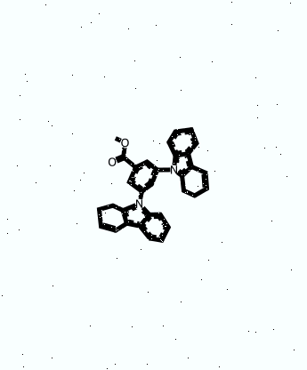 COC(=O)c1cc(-n2c3c(c4ccccc42)C=CCC3)cc(-n2c3c(c4ccccc42)C=CCC3)c1